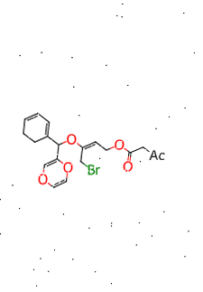 CC(=O)CC(=O)OC/C=C(\CBr)OC(C1=CC=CCC1)C1=COC=CO1